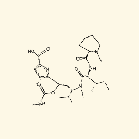 CC[C@H](C)[C@H](NC(=O)[C@H]1CCCCN1C)C(=O)N(C)[C@H](C[C@@H](OC(=O)NC)c1nc(C(=O)O)cs1)C(C)C